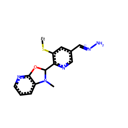 CCSc1cc(/C=N/N)cnc1C1Oc2ncccc2N1C